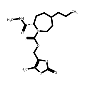 CCCC1CC[C@@H](C(=O)NC)N(C(=O)OCc2oc(=O)oc2C)CC1